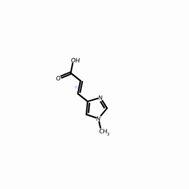 Cn1cnc(/C=C/C(=O)O)c1